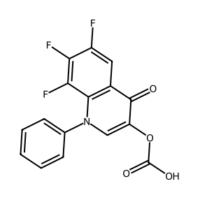 O=C(O)Oc1cn(-c2ccccc2)c2c(F)c(F)c(F)cc2c1=O